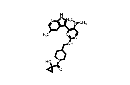 CN(C)c1cnc(NCC2CCN(C(=O)C3(O)CC3)CC2)nc1-c1c[nH]c2ncc(C(F)(F)F)cc12